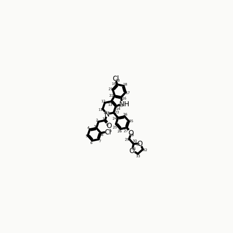 O=C(Cc1ccccc1Cl)N1CCc2c([nH]c3ccc(Cl)cc23)C1c1ccc(OCC2OCCO2)cc1